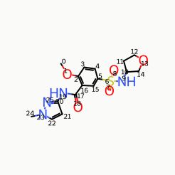 COc1ccc(S(=O)(=O)NC2CCOC2)cc1C(=O)Nc1ccn(C)n1